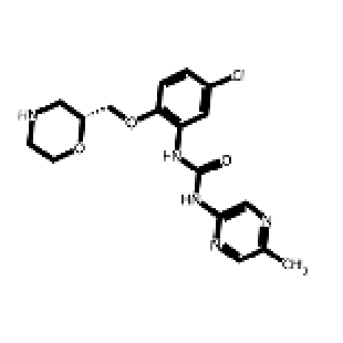 Cc1cnc(NC(=O)Nc2cc(Cl)ccc2OC[C@H]2CNCCO2)cn1